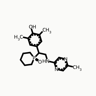 Cc1cnc(NCC(c2cc(C)c(O)c(C)c2)P2(=O)CCCCC2)cn1